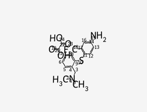 CN(C)Cc1ccccc1Sc1ccc(N)cc1C(F)(F)F.O=C(O)C(=O)O